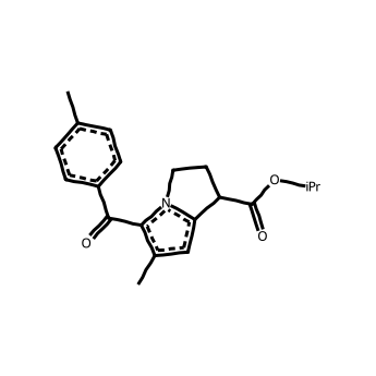 Cc1ccc(C(=O)c2c(C)cc3n2CCC3C(=O)OC(C)C)cc1